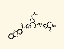 O=C(NCC(=O)N1C[C@H](OC(F)F)C[C@H]1C(=O)NCc1cc2c(s1)C(=O)NCC2)c1ccc2c(c1)Oc1ccccc1S2